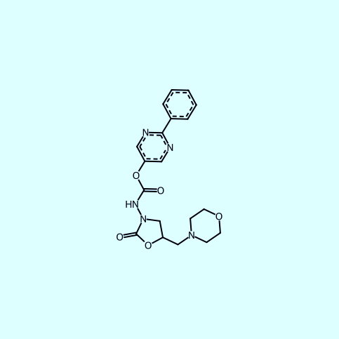 O=C(NN1CC(CN2CCOCC2)OC1=O)Oc1cnc(-c2ccccc2)nc1